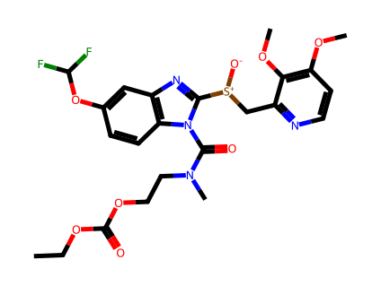 CCOC(=O)OCCN(C)C(=O)n1c([S+]([O-])Cc2nccc(OC)c2OC)nc2cc(OC(F)F)ccc21